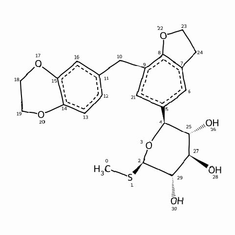 CS[C@H]1O[C@@H](c2cc3c(c(Cc4ccc5c(c4)OCCO5)c2)OCC3)[C@H](O)[C@@H](O)[C@@H]1O